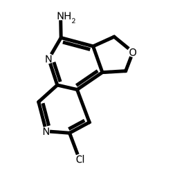 Nc1nc2cnc(Cl)cc2c2c1COC2